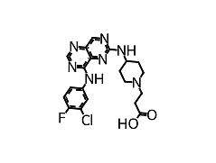 O=C(O)CCN1CCC(Nc2ncc3ncnc(Nc4ccc(F)c(Cl)c4)c3n2)CC1